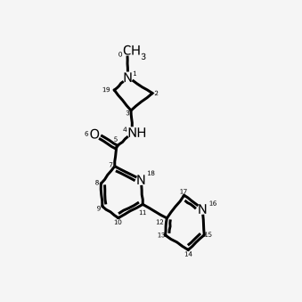 CN1CC(NC(=O)c2cccc(-c3cccnc3)n2)C1